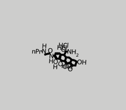 CCCNCC(=O)Nc1ccc2c(c1O)C(=O)C1=C(O)C3(O)C(=O)CC(O)CC3CC1C2C(N)=O.Cl.Cl